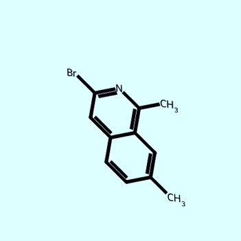 Cc1ccc2cc(Br)nc(C)c2c1